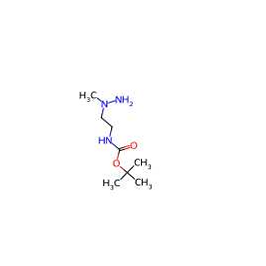 CN(N)CCNC(=O)OC(C)(C)C